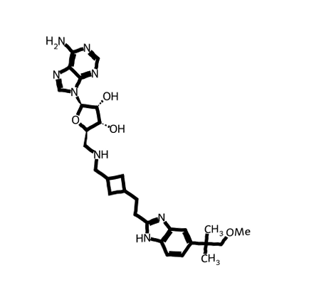 COCC(C)(C)c1ccc2[nH]c(CCC3CC(CNC[C@H]4O[C@@H](n5cnc6c(N)ncnc65)[C@H](O)[C@@H]4O)C3)nc2c1